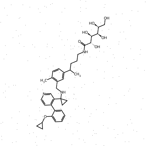 Cc1ccc(C(C)CCCNC(=O)[C@@H](O)[C@@H](O)[C@H](O)[C@@H](O)CO)cc1CNC1(c2cnccc2-c2ccccc2OC2CC2)CC1